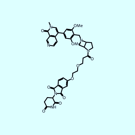 COc1cc(-c2cn(C)c(=O)c3cnccc23)cc(OC)c1CN1CC2C1CCN2C(=O)CCOCCOc1ccc2c(c1)C(=O)N(C1CCC(=O)NC1=O)C2=O